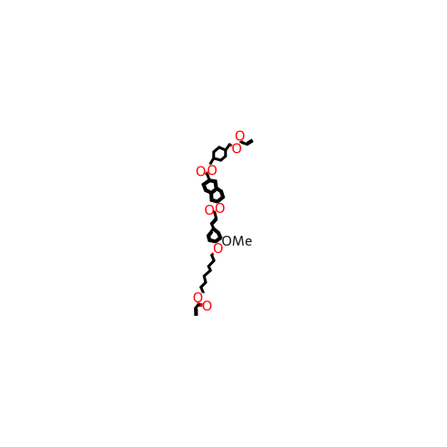 C=CC(=O)OCCCCCCCCOc1ccc(/C=C/C(=O)Oc2ccc3cc(C(=O)OCC4CCC(COC(=O)C=C)CC4)ccc3c2)cc1OC